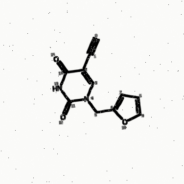 C#Cc1cn(Cc2ccco2)c(=O)[nH]c1=O